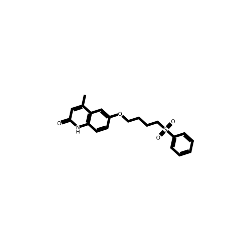 Cc1cc(=O)[nH]c2ccc(OCCCCS(=O)(=O)c3ccccc3)cc12